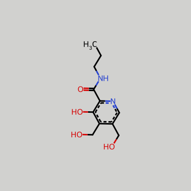 CCCNC(=O)c1ncc(CO)c(CO)c1O